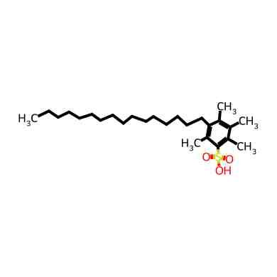 CCCCCCCCCCCCCCCCc1c(C)c(C)c(C)c(S(=O)(=O)O)c1C